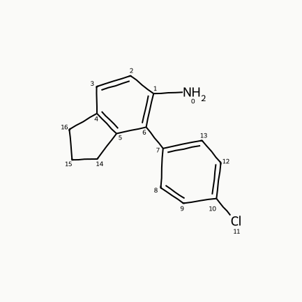 Nc1ccc2c(c1-c1ccc(Cl)cc1)CCC2